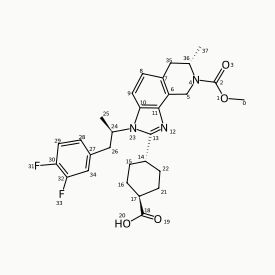 COC(=O)N1Cc2c(ccc3c2nc([C@H]2CC[C@H](C(=O)O)CC2)n3[C@H](C)Cc2ccc(F)c(F)c2)C[C@@H]1C